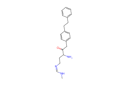 CN/C=N\CCC(N)C(=O)Cc1ccc(CCc2ccccc2)cc1